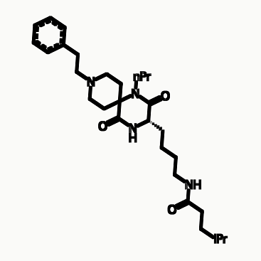 CCCN1C(=O)[C@H](CCCCNC(=O)CCC(C)C)NC(=O)C12CCN(CCc1ccccc1)CC2